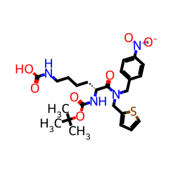 CC(C)(C)OC(=O)N[C@H](CCCCNC(=O)O)C(=O)N(Cc1ccc([N+](=O)[O-])cc1)Cc1cccs1